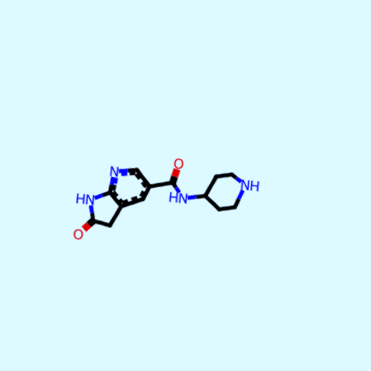 O=C1Cc2cc(C(=O)NC3CCNCC3)cnc2N1